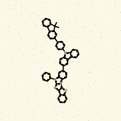 CC1(C)c2ccccc2-c2ccc(-c3ccc(-n4c5ccccc5c5cc(-c6ccc7c(c6)n(-c6ccccc6)c6nc8c9ccccc9oc8n76)ccc54)cc3)cc21